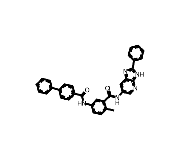 Cc1ccc(NC(=O)c2ccc(-c3ccccc3)cc2)cc1C(=O)Nc1cnc2[nH]c(-c3ccccc3)nc2c1